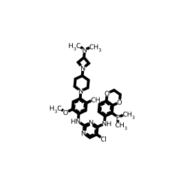 COc1cc(N2CCC(N3CC(N(C)C)C3)CC2)c(C)cc1Nc1ncc(Cl)c(Nc2ccc3c(c2P(C)C)OCCO3)n1